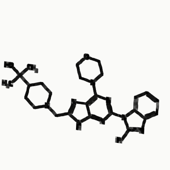 CC(C)c1nc2ccccc2n1-c1nc(N2CCOCC2)c2nc(CN3CCC(C(C)(C)O)CC3)[nH]c2n1